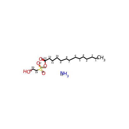 CCCCCCCCCCCCCC(=O)OS(=O)(=O)CCO.N